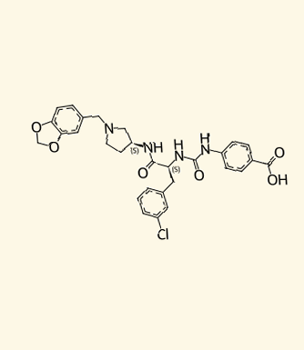 O=C(Nc1ccc(C(=O)O)cc1)N[C@@H](Cc1cccc(Cl)c1)C(=O)N[C@H]1CCN(Cc2ccc3c(c2)OCO3)C1